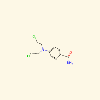 NC(=O)c1ccc(N(CCCl)CCCl)cc1